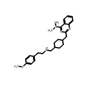 CN(C)c1nc(CC2CCC(CNCCc3ccc(SC(F)(F)F)cc3)CC2)nc2ccccc12